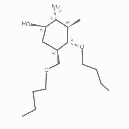 CCCCOC[C@H]1C[C@@H](O)[C@H](N)[C@@H](C)[C@@H]1OCCCC